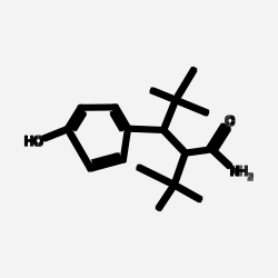 CC(C)(C)C(C(N)=O)C(c1ccc(O)cc1)C(C)(C)C